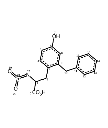 O=C(O)C(Cc1ccc(O)cc1Cc1ccccc1)N=S(=O)=O